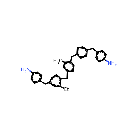 CCc1cc(Cc2ccc(N)cc2)ccc1Cc1ccc(Cc2ccc(Cc3ccc(N)cc3)cc2)c(C)c1